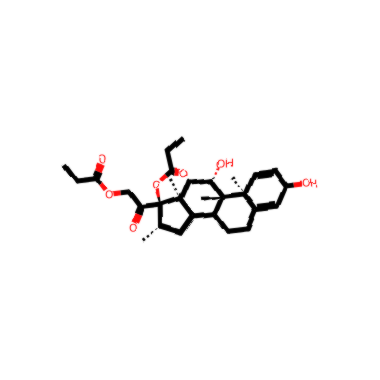 CCC(=O)OCC(=O)[C@@]1(OC(=O)CC)[C@@H](C)CC2C3CCC4=CC(O)C=C[C@]4(C)[C@@]3(C)[C@@H](O)C[C@@]21C